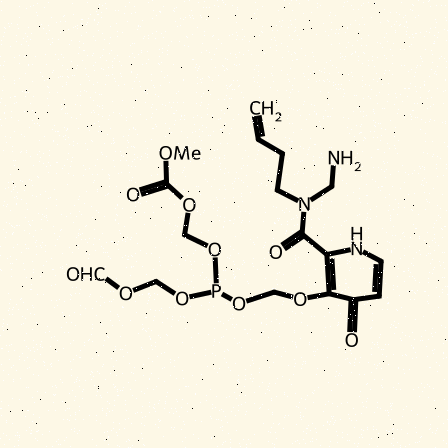 C=CCCN(CN)C(=O)c1[nH]ccc(=O)c1OCOP(OCOC=O)OCOC(=O)OC